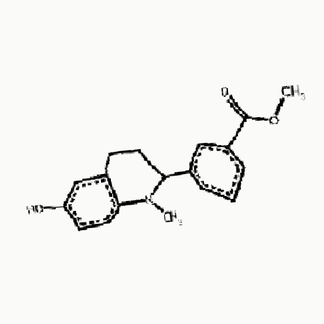 COC(=O)c1cccc(C2CCc3cc(O)ccc3N2C)c1